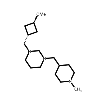 CO[C@H]1C[C@H](CN2CCCN(CC3CCN(C)CC3)C2)C1